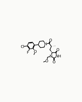 COCN1C(=O)NC(=O)[C@@H]1C[C@@H](C)C(=O)N1CCC(c2ccc(Cl)c(F)c2OC)CC1